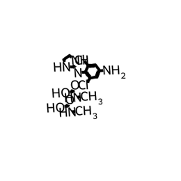 CNC(=O)O.CNC(=O)O.Nc1cc(Cl)c(N=C2NCCN2)c(Cl)c1